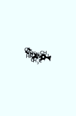 Cc1cc(C2CC2)cc(C)c1-n1cc2c(=O)[nH]c(N3CCOCC3)nc2n1